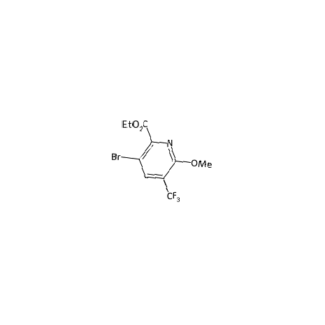 CCOC(=O)c1nc(OC)c(C(F)(F)F)cc1Br